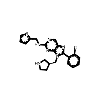 Clc1ccccc1-c1nc2cnc(NCc3cccs3)nc2n1C[C@H]1CCNC1